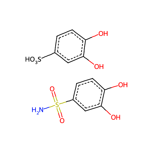 NS(=O)(=O)c1ccc(O)c(O)c1.O=S(=O)(O)c1ccc(O)c(O)c1